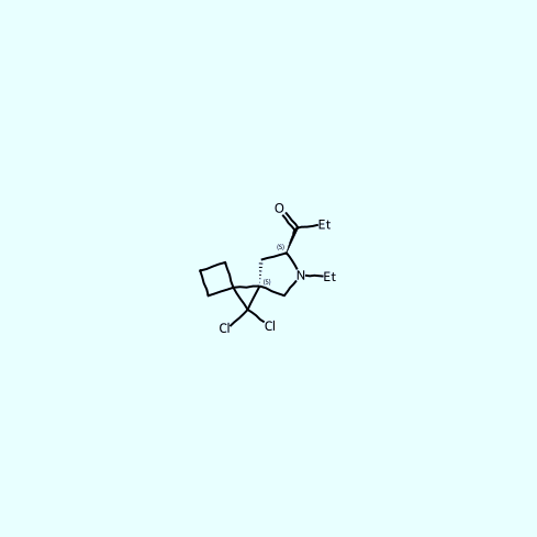 CCC(=O)[C@@H]1C[C@]2(CN1CC)C(Cl)(Cl)C21CCC1